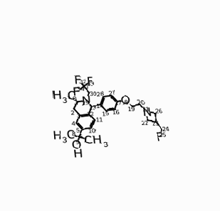 C[C@H]1Cc2cc(C(C)(C)O)ccc2[C@H](c2ccc(OCCN3CC(CF)C3)cc2)N1CC(F)(F)F